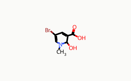 CN1C=C(Br)C=C(C(=O)O)C1O